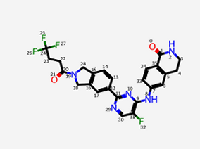 O=C1NCCc2cc(Nc3nc(-c4ccc5c(c4)CN(C(=O)CCC(F)(F)F)C5)ncc3F)ccc21